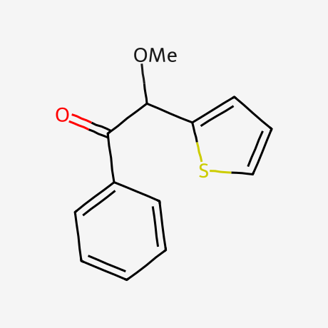 COC(C(=O)c1ccccc1)c1cccs1